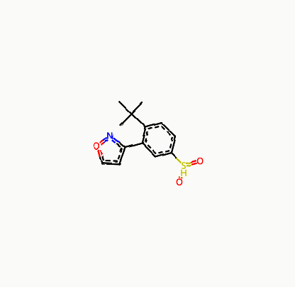 CC(C)(C)c1ccc([SH](=O)=O)cc1-c1ccon1